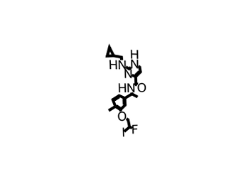 Cc1ccc(C(C)NC(=O)C2=CCNC(NCC3CC3)=N2)cc1OCC(F)I